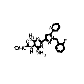 Nc1nc(-c2cc(-c3ccccn3)n(Cc3ccccc3F)n2)nc(N)c1NC(=O)C=O